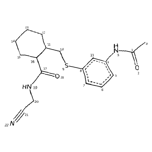 CC(=O)Nc1cccc(SCC2CCCCC2C(=O)NCC#N)c1